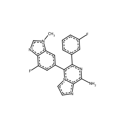 Cn1cnc2c(F)cc(-c3c(-c4cccc(F)c4)nc(N)c4nccn34)cc21